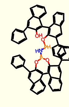 Oc1c(-c2ccccc2)cc2ccccc2c1-c1c(OPNp2oc3c(-c4ccccc4)cc4ccccc4c3c3c(o2)c(-c2ccccc2)cc2ccccc23)c(-c2ccccc2)cc2ccccc12